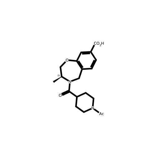 CC(=O)N1CCC(C(=O)N2Cc3ccc(C(=O)O)cc3OC[C@@H]2C)CC1